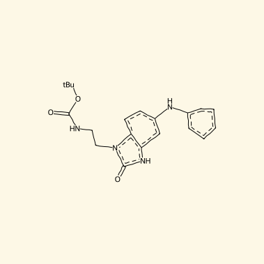 CC(C)(C)OC(=O)NCCn1c(=O)[nH]c2cc(Nc3ccccc3)ccc21